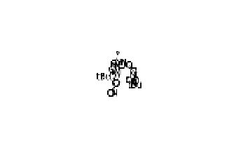 CC(C)(C)OC(=O)N1CC[C@H](Oc2cc(N(Cc3ccc(-c4ccccn4)cc3)C(=O)OC(C)(C)C)n3ncc(C4CC4)c3n2)C1